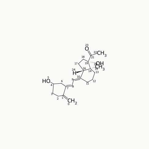 C=C1CCC(O)CC1=C/C=C1\CCC[C@@]2(C)[C@H]1CC[C@@]2(O)C(C)=O